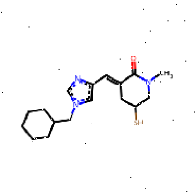 CN1CC(S)C/C(=C\c2cn(CC3CCCCC3)cn2)C1=O